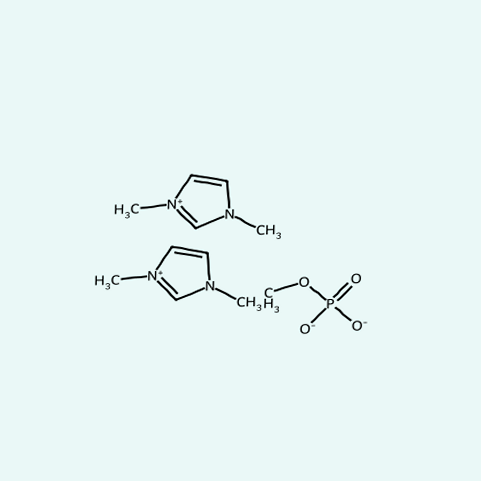 COP(=O)([O-])[O-].Cn1cc[n+](C)c1.Cn1cc[n+](C)c1